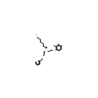 Cc1ccc(NCCN(C(=O)CCCCCNC(C)C)[C@H](C)CNCc2cccs2)c(Cl)c1C